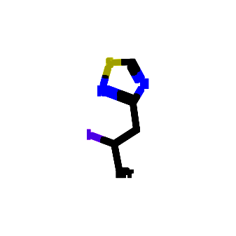 CCCC(I)Cc1ncsn1